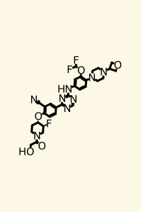 N#Cc1cc(-c2ncnc(Nc3ccc(N4CCN(C5COC5)CC4)c(OC(F)F)c3)n2)ccc1O[C@H]1CCN(C(=O)CO)C[C@@H]1F